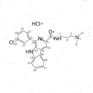 CN(C)CCCNC(=O)c1cc2c([nH]c3ccccc32)c(-c2cccc(Cl)c2)n1.Cl